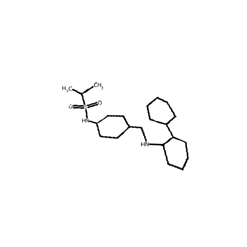 CC(C)S(=O)(=O)NC1CCC(CNC2CCCCC2C2CCCCC2)CC1